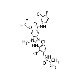 CC(C(=O)NCc1ccc(Cl)c(Nc2nc3cc(C(=O)Nc4ccc(F)c(Cl)c4)c(OCC(F)F)cc3n2C)c1Cl)C(F)(F)F